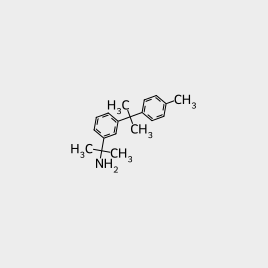 Cc1ccc(C(C)(C)c2cccc(C(C)(C)N)c2)cc1